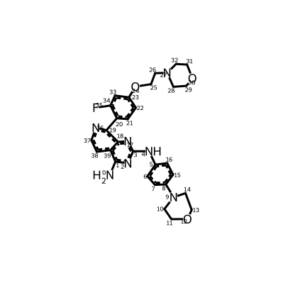 Nc1nc(Nc2ccc(N3CCOCC3)cc2)nc2c(-c3ccc(OCCN4CCOCC4)cc3F)nccc12